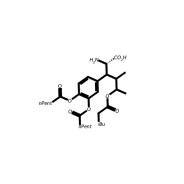 CCCCCC(=O)Oc1ccc(C(C(C)C(C)OC(=O)CC(C)CC)[C@H](N)C(=O)O)cc1OC(=O)CCCCC